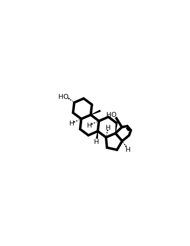 C[C@]12CC[C@@H](O)C[C@@H]1CC[C@@H]1[C@@H]2CC[C@@]23C(O)C=CC[C@H]2CC[C@@H]13